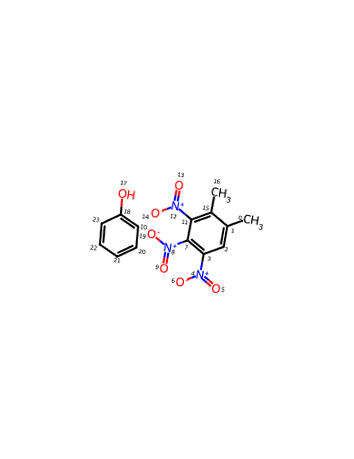 Cc1cc([N+](=O)[O-])c([N+](=O)[O-])c([N+](=O)[O-])c1C.Oc1ccccc1